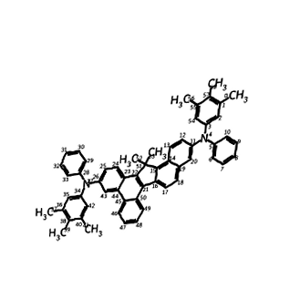 Cc1cc(N(c2ccccc2)c2ccc3c4c(ccc3c2)-c2c(c3ccc(N(c5ccccc5)c5cc(C)c(C)c(C)c5)cc3c3ccccc23)C4(C)C)cc(C)c1C